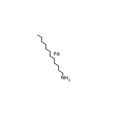 CCCCCCCCCCCCN.[Pd]